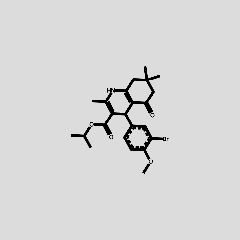 COc1ccc(C2C(C(=O)OC(C)C)=C(C)NC3=C2C(=O)CC(C)(C)C3)cc1Br